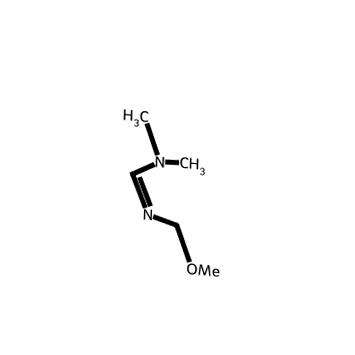 COC/N=C\N(C)C